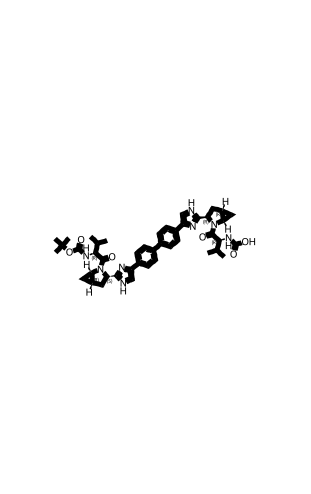 CC(C)[C@@H](NC(=O)O)C(=O)N1[C@@H](c2nc(-c3ccc(-c4ccc(-c5c[nH]c([C@@H]6C[C@H]7C[C@H]7N6C(=O)[C@H](NC(=O)OC(C)(C)C)C(C)C)n5)cc4)cc3)c[nH]2)C[C@H]2C[C@H]21